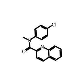 CN(C(=O)c1ccc2ccccc2n1)c1ccc(Cl)cc1